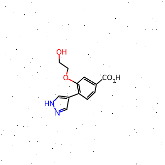 O=C(O)c1ccc(-c2cn[nH]c2)c(OCCO)c1